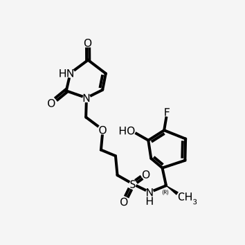 C[C@@H](NS(=O)(=O)CCCOCn1ccc(=O)[nH]c1=O)c1ccc(F)c(O)c1